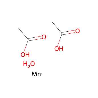 CC(=O)O.CC(=O)O.O.[Mn]